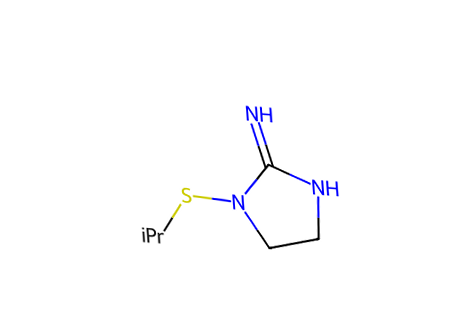 CC(C)SN1CCNC1=N